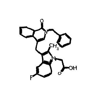 Cc1c(CC2=CN(Cc3ccccc3)C(=O)C3CC=CC=C23)c2cc(F)ccc2n1CC(=O)O